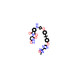 Cc1nc(-c2cnc(Oc3ccc(C(C)(C)c4ccc(O[C@H]5C[C@@H](Nc6ccc7c(c6)C(=O)N(C6CCC(=O)NC6=O)C7=O)C5)cc4)cc3)cn2)no1